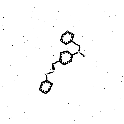 CCN(Cc1ccccc1)c1ccc(/C=N/Nc2ccccc2)cc1